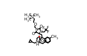 Cc1ccc2c(c1)[C@]13CCN(CC4CC4)[C@H](C2)[C@]1(O)CC[C@]1(C3)C(=O)N(COCC[Si](C)(C)C)C(=O)N1CC(F)(F)F